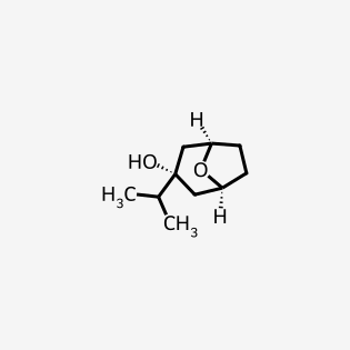 CC(C)[C@@]1(O)C[C@H]2CC[C@@H](C1)O2